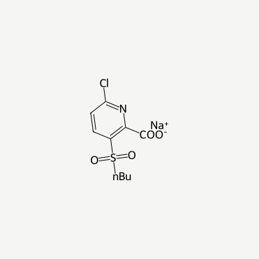 CCCCS(=O)(=O)c1ccc(Cl)nc1C(=O)[O-].[Na+]